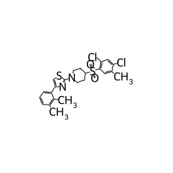 Cc1cc(S(=O)(=O)C2CCN(c3nc(-c4cccc(C)c4C)cs3)CC2)c(Cl)cc1Cl